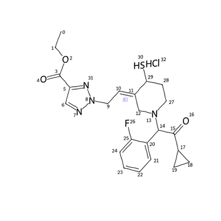 CCOC(=O)c1cnn(C/C=C2\CN(C(C(=O)C3CC3)c3ccccc3F)CCC2S)n1.Cl